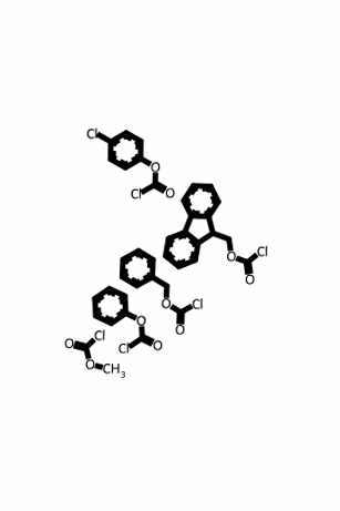 COC(=O)Cl.O=C(Cl)OCC1c2ccccc2-c2ccccc21.O=C(Cl)OCc1ccccc1.O=C(Cl)Oc1ccc(Cl)cc1.O=C(Cl)Oc1ccccc1